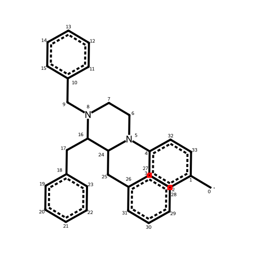 [CH2]c1ccc(N2CCN(Cc3ccccc3)C(Cc3ccccc3)C2Cc2ccccc2)cc1